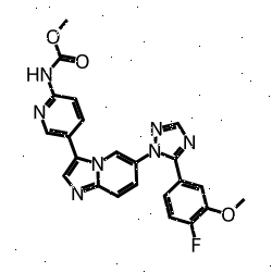 COC(=O)Nc1ccc(-c2cnc3ccc(-n4ncnc4-c4ccc(F)c(OC)c4)cn23)cn1